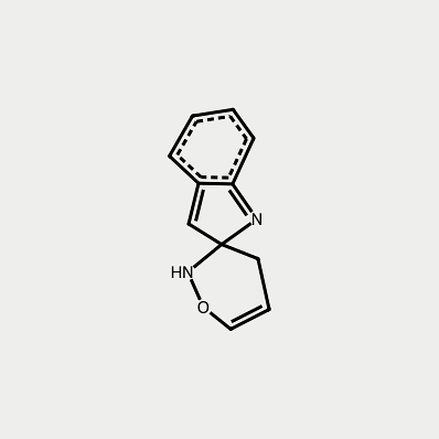 C1=CONC2(C=c3ccccc3=N2)C1